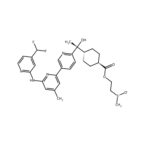 Cc1cc(Nc2cc(C(F)F)ccn2)nc(-c2ccc([C@](C)(O)[C@H]3CC[C@H](C(=O)OCC[S+](C)[O-])CC3)nc2)c1